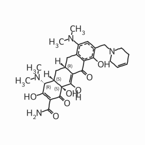 CN(C)c1cc(CN2CC=CCC2)c(O)c2c1C[C@H]1C[C@H]3[C@@H](N(C)C)C(O)=C(C(N)=O)C(=O)[C@@]3(O)C(O)=C1C2=O